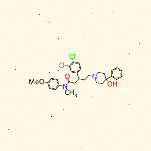 COc1ccc(N(C)C(=O)CC(CCN2CCC(O)(c3ccccc3)CC2)c2ccc(Cl)c(Cl)c2)cc1